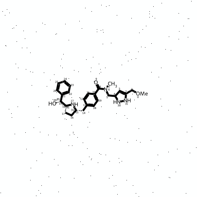 COCC1=CC(CN(C)C(=O)c2ccc(C[C@@H]3CC[C@H]([C@H](O)c4ccccc4)N3)cc2)NN1